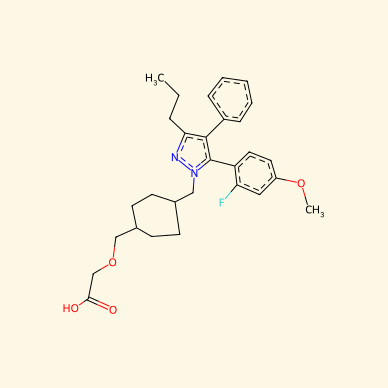 CCCc1nn(CC2CCC(COCC(=O)O)CC2)c(-c2ccc(OC)cc2F)c1-c1ccccc1